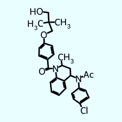 CC(=O)N(c1ccc(Cl)cc1)C1CC(C)N(C(=O)c2ccc(OCC(C)(C)CO)cc2)c2ccccc21